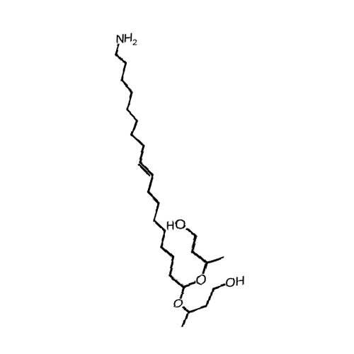 CC(CCO)OC(CCCCCCCC=CCCCCCCCCN)OC(C)CCO